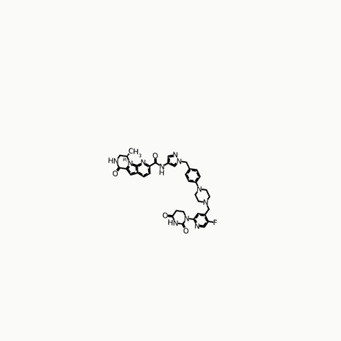 C[C@@H]1CNC(=O)c2cc3ccc(C(=O)Nc4cnn(Cc5ccc(N6CCN(Cc7cc(N8CCC(=O)NC8=O)ncc7F)CC6)cc5)c4)nc3n21